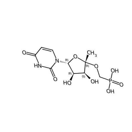 C[C@]1(OCP(=O)(O)O)O[C@@H](n2ccc(=O)[nH]c2=O)[C@H](O)[C@@H]1O